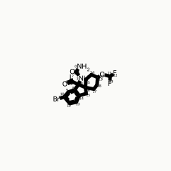 NC(=O)NC1(C(=O)I)c2cc(Br)ccc2CC12CCC(OC(F)F)CC2